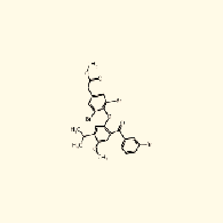 COC(=O)Cc1cc(Br)c(Oc2cc(C(C)C)c(OC)cc2C(=O)c2cccc(Br)c2)c(Br)c1